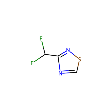 FC(F)c1ncsn1